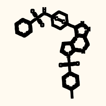 Cc1ccc(S(=O)(=O)n2ccc3c2ncc2nnc(C45CCC(NS(=O)(=O)c6ccccc6)(CC4)CC5)n23)cc1